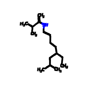 C=C(NCCCCC(CC)CC(C)C)C(C)C